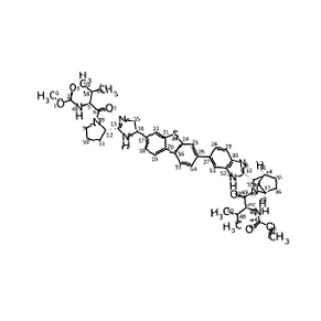 COC(=O)N[C@H](C(=O)N1CCC[C@H]1C1=NCC(c2ccc3c(c2)sc2cc(-c4ccc5nc([C@@H]6[C@H]7CC[C@H](C7)N6C(=O)[C@@H](NC(=O)OC)C(C)C)[nH]c5c4)ccc23)N1)C(C)C